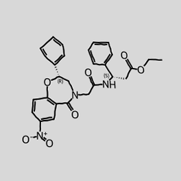 CCOC(=O)C[C@H](NC(=O)CN1C[C@@H](c2ccccc2)Oc2ccc([N+](=O)[O-])cc2C1=O)c1ccccc1